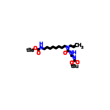 C=CCN(CCCCCCCCNC(=O)OC(C)(C)C)C(=O)NC=NC(=O)OC(C)(C)C